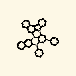 c1ccc(-c2cc3c4c(c2)-n2c5ccccc5c5c6ccccc6cc(c52)B4c2cc4ccccc4cc2N3c2ccccc2)cc1